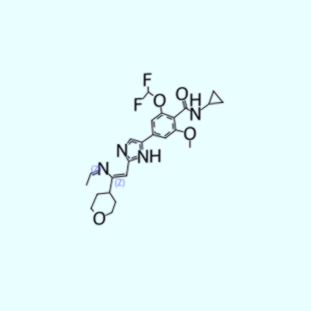 C/C=N\C(=C/c1ncc(-c2cc(OC)c(C(=O)NC3CC3)c(OC(F)F)c2)[nH]1)C1CCOCC1